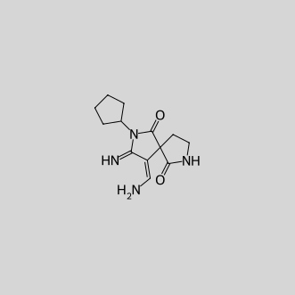 N=C1/C(=C\N)C2(CCNC2=O)C(=O)N1C1CCCC1